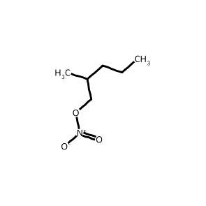 CCCC(C)CO[N+](=O)[O-]